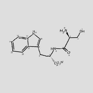 N[C@@H](CO)C(=O)N[C@@H](Cc1c[nH]c2ccccc12)C(=O)O